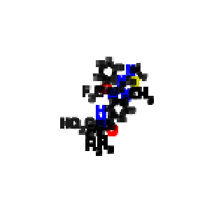 Cn1c(N(c2nccs2)c2ccccc2OC(F)(F)F)nc2cc(C(=O)NC(C)(C)C(=O)O)ccc21